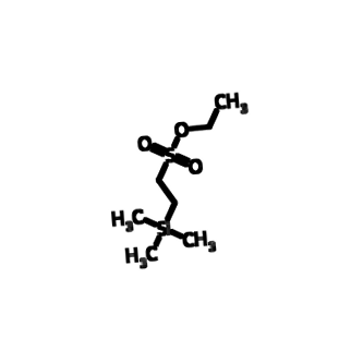 CCOS(=O)(=O)CC[Si](C)(C)C